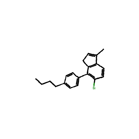 CCCCc1ccc(-c2c(Br)ccc3c2CC=C3C)cc1